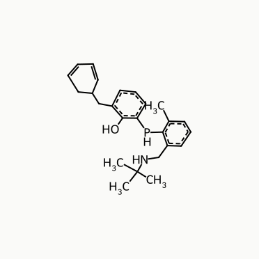 Cc1cccc(CNC(C)(C)C)c1Pc1cccc(CC2C=CC=CC2)c1O